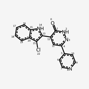 O=c1[nH]nc(-c2ccncc2)cc1-c1[nH]c2ccccc2c1Cl